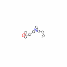 c1ccc(-c2cccc(-c3ccc4c(c3)c3ccccc3n4-c3ccc(-c4ccc(-c5cccc6oc7ccccc7c56)cc4)cc3)c2)cc1